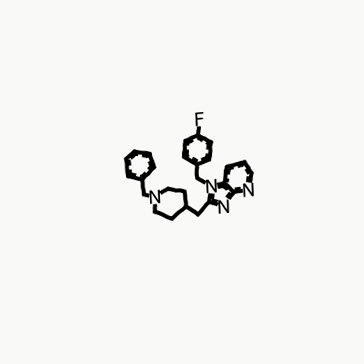 Fc1ccc(Cn2c(CC3CCN(Cc4ccccc4)CC3)nc3ncccc32)cc1